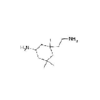 CC1(C)CC(N)CC(C)(CCN)C1